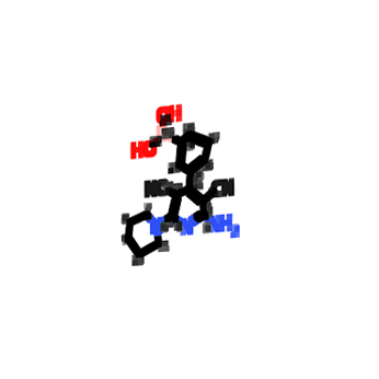 N#Cc1c(N)nc(N2CCCCC2)c(C#N)c1-c1cccc(B(O)O)c1